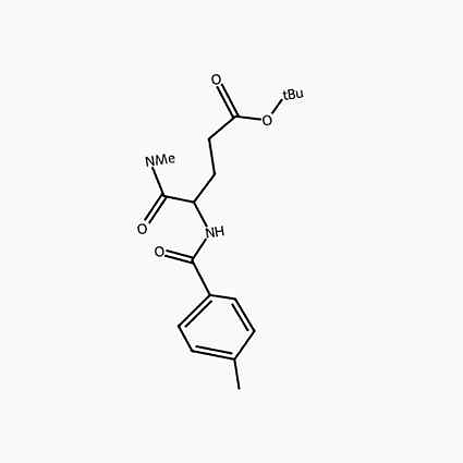 CNC(=O)C(CCC(=O)OC(C)(C)C)NC(=O)c1ccc(C)cc1